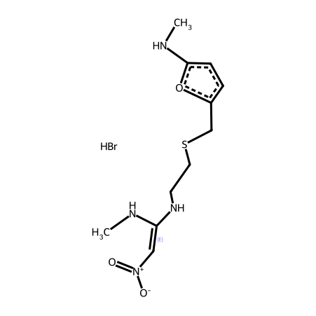 Br.CN/C(=C\[N+](=O)[O-])NCCSCc1ccc(NC)o1